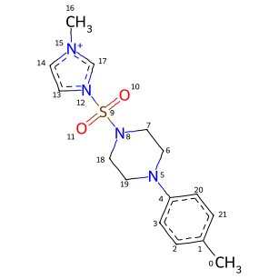 Cc1ccc(N2CCN(S(=O)(=O)n3cc[n+](C)c3)CC2)cc1